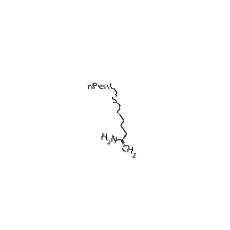 C=C(N)CCCCCSCCCCCC